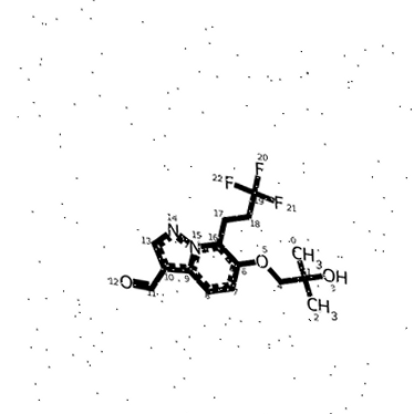 CC(C)(O)COc1ccc2c(C=O)cnn2c1CCC(F)(F)F